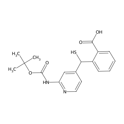 CC(C)(C)OC(=O)Nc1cc(C(S)c2ccccc2C(=O)O)ccn1